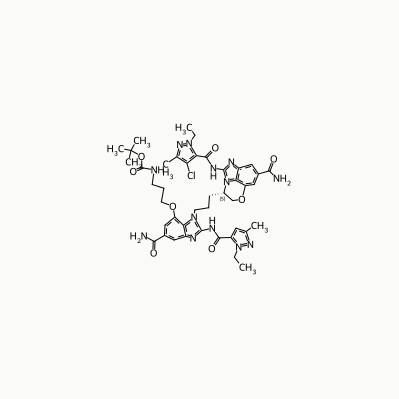 CCn1nc(C)cc1C(=O)Nc1nc2cc(C(N)=O)cc(OCCCNC(=O)OC(C)(C)C)c2n1CCC[C@H]1COc2cc(C(N)=O)cc3nc(NC(=O)c4c(Cl)c(C)nn4CC)n1c23